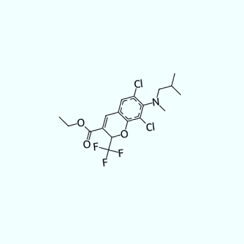 CCOC(=O)C1=Cc2cc(Cl)c(N(C)CC(C)C)c(Cl)c2OC1C(F)(F)F